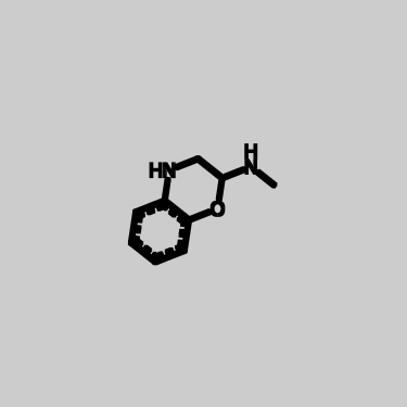 CNC1CNc2ccccc2O1